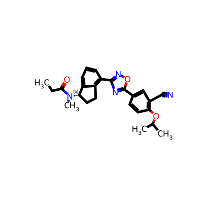 CCC(=O)N(C)[C@H]1CCc2c(-c3noc(-c4ccc(OC(C)C)c(C#N)c4)n3)cccc21